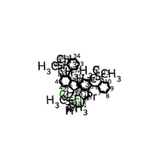 CC(C)CC1=Cc2c(-c3ccccc3[Si](C)(C)C)cccc2[CH]1[Zr]([Cl])([Cl])([CH]1C(CC(C)C)=Cc2c(-c3ccccc3[Si](C)(C)C)cccc21)[SiH](C)C